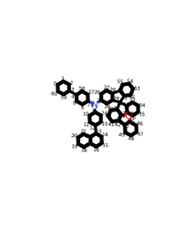 c1ccc(-c2ccc(N(c3ccc(-c4cccc5ccccc45)cc3)c3ccc4c(c3)C(c3ccccc3)(c3cccc5c3oc3ccccc35)c3ccccc3-4)cc2)cc1